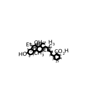 CC[C@@H]1C2C[C@H](O)CC[C@]2(C)[C@H]2CCC3(C)[C@@H]([C@H](C)CCCc4ccccc4C(=O)O)CC[C@H]3C2[C@@H]1O